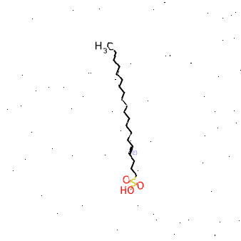 CCCCCCCCCCCCCCC/C=C/CCCS(=O)(=O)O